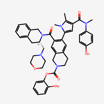 Cc1c(C(=O)N(C)c2ccc(O)cc2)cc(-c2cc3c(cc2C(=O)N2Cc4ccccc4C[C@H]2CN2CCOCC2)CN(C(=O)Oc2ccccc2O)CC3)n1C